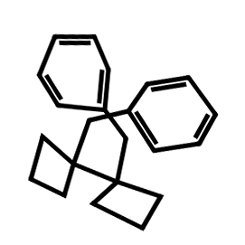 c1ccc(CC2(C3(Cc4ccccc4)CCC3)CCC2)cc1